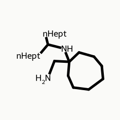 CCCCCCCC(CCCCCCC)NC1(CN)CCCCCCC1